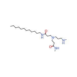 CCCCCCCCCCCCNC(=O)CCN(CCCNC)CCC(=O)NC